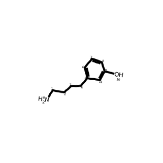 NCCCCc1cccc(O)c1